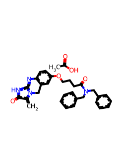 C=c1c(=O)[nH]c2n1Cc1cc(OCCCC(=O)N(Cc3ccccc3)Cc3ccccc3)ccc1N=2.CC(=O)O